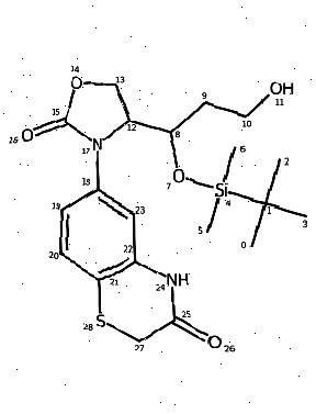 CC(C)(C)[Si](C)(C)OC(CCO)C1COC(=O)N1c1ccc2c(c1)NC(=O)CS2